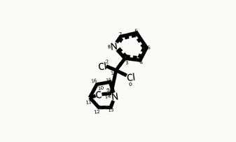 ClC(Cl)(c1ccccn1)C1CC2CCN1CC2